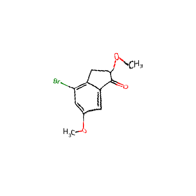 COc1cc(Br)c2c(c1)C(=O)C(OC)C2